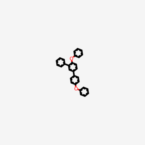 c1ccc(Oc2ccc(-c3ccc(Oc4ccccc4)c(-c4ccccc4)c3)cc2)cc1